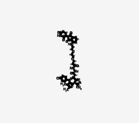 Cc1sc2c(c1C)C(C1=CC=C(Cl)CC1)=N[C@@H](CC(=O)NNC(=O)CCOCCOCCNc1cccc3c1C(=O)N(C1CCC(=O)NC1=O)C3=O)c1nnc(C)n1-2